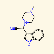 CN1CCN(C(C#N)c2c[nH]c3ccccc23)CC1